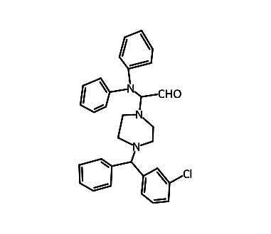 O=CC(N1CCN(C(c2ccccc2)c2cccc(Cl)c2)CC1)N(c1ccccc1)c1ccccc1